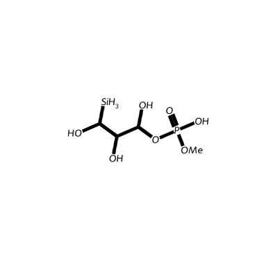 COP(=O)(O)OC(O)C(O)C(O)[SiH3]